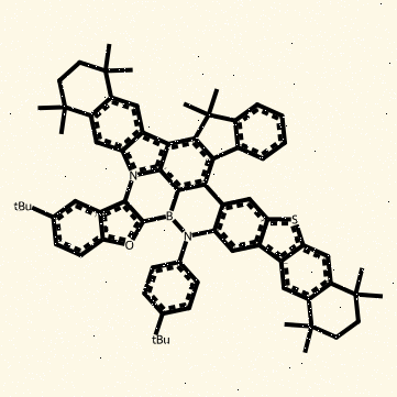 CC(C)(C)c1ccc(N2B3c4oc5ccc(C(C)(C)C)cc5c4-n4c5cc6c(cc5c5c7c(c(c3c54)-c3cc4sc5cc8c(cc5c4cc32)C(C)(C)CCC8(C)C)-c2ccccc2C7(C)C)C(C)(C)CCC6(C)C)cc1